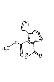 C=Cc1cccc(C(=O)O)c1C(=O)OC